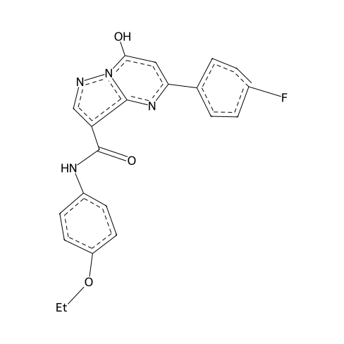 CCOc1ccc(NC(=O)c2cnn3c(O)cc(-c4ccc(F)cc4)nc23)cc1